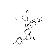 Cc1ccc(-n2cc(Cl)c3cc(N(CC(=O)OC(C)(C)C)S(=O)(=O)c4cc(Cl)cc(Cl)c4)ccc32)nn1